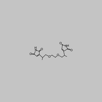 CC(COCCOCC(C)C1=CC(=O)NC1=O)C1=CC(=O)NC1=O